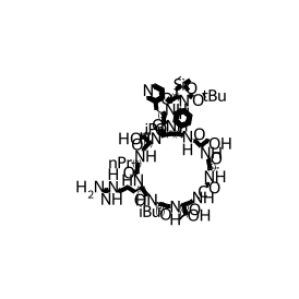 CCC[C@@H]1NC(=O)[C@H]([C@H](O)C(C)C)NC(=O)[C@@H](NC(=O)[C@H](Cc2cccnc2)NC(=O)[C@@H](C[Si](C)(C)C)NC(=O)OC(C)(C)C)[C@@H](c2ccccc2)NC(=O)C(CO)NC(=O)[C@H](C)NC(=O)CNC(=O)[C@H]([C@H](C)O)NC(=O)[C@H]([C@@H](C)CC)NC(=O)[C@@H](CCCNC(=N)N)NC1=O